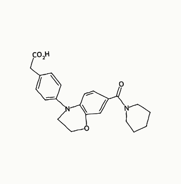 O=C(O)Cc1ccc(N2CCOc3cc(C(=O)N4CCCCC4)ccc32)cc1